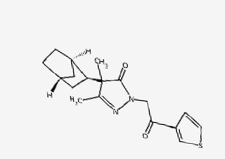 CC1=NN(CC(=O)c2ccsc2)C(=O)C1(C)[C@H]1C[C@@H]2CC[C@@H]1C2